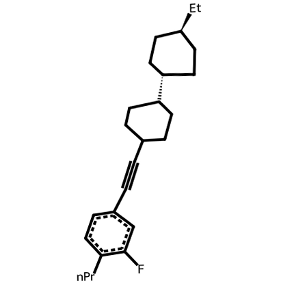 CCCc1ccc(C#CC2CCC([C@H]3CC[C@H](CC)CC3)CC2)cc1F